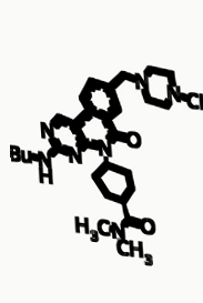 CCCCNc1ncc2c3ccc(CN4CCN(C)CC4)cc3c(=O)n([C@H]3CC[C@H](C(=O)N(C)C)CC3)c2n1